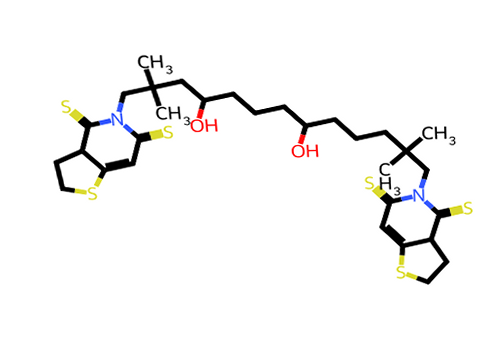 CC(C)(CCCC(O)CCCC(O)CC(C)(C)CN1C(=S)C=C2SCCC2C1=S)CN1C(=S)C=C2SCCC2C1=S